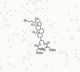 C=C(COC)C(=O)OCC(COC(=O)C(=C)COC)[C@H]1CC[C@@]2(C)C(CCC3C2CC[C@@]2(C)C3CC[C@@H]2[C@H](C)CCCC(C)C)C1